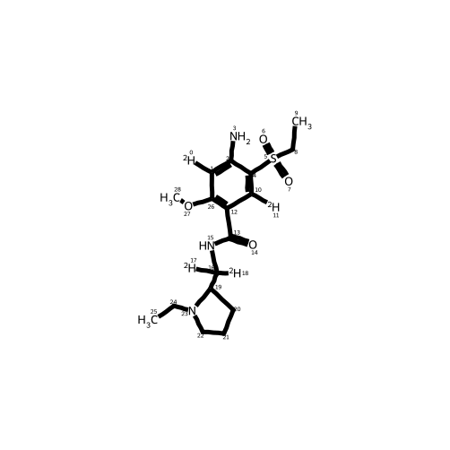 [2H]c1c(N)c(S(=O)(=O)CC)c([2H])c(C(=O)NC([2H])([2H])C2CCCN2CC)c1OC